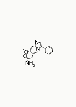 COc1cc2ncc(-c3ccccc3)n2cc1CC(N)=O